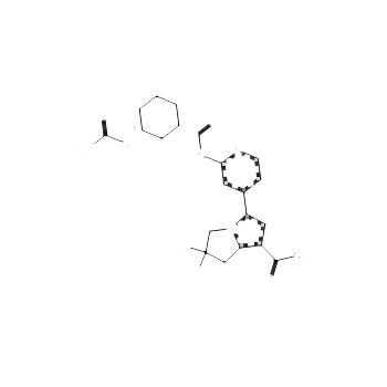 C=C(N)c1cc(-c2ccnc(NC(=O)[C@H]3CCC[C@@H](NC(C)=O)C3)c2)n2c1CC(C)(C)C2